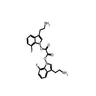 NCCc1cn(OC(=O)C(=O)On2cc(CCN)c3cccc(F)c32)c2c(F)cccc12